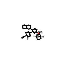 N#Cc1ccc(-c2cc(C(=O)N3[C@@H]4CC[C@H]3C[C@H](N)C4)ccc2-c2ccc3ccccc3c2)cc1F